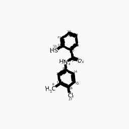 Cc1cc(NC(=O)c2ccccc2S)ccc1Cl